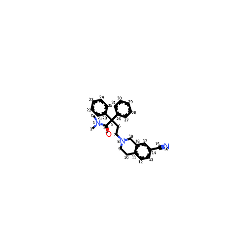 CN(C)C(=O)C(CCN1CCc2ccc(C#N)cc2C1)(c1ccccc1)c1ccccc1